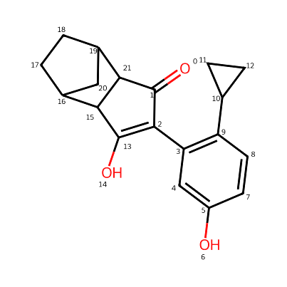 O=C1C(c2cc(O)ccc2C2CC2)=C(O)C2C3CCC(C3)C12